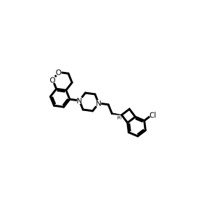 Clc1cccc2c1C[C@@H]2CCN1CCN(c2cccc3c2CCOO3)CC1